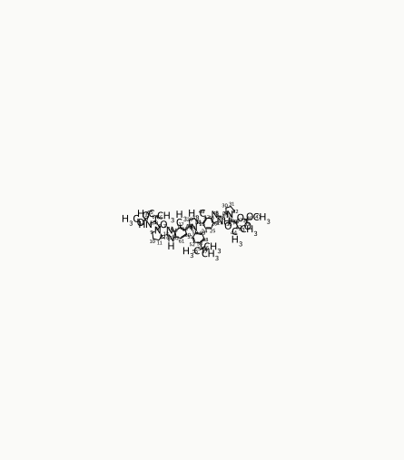 COC(=O)N[C@H](C(=O)N1CCC[C@H]1c1nc2c(C)c([C@H]3CC[C@H](c4ccc5[nH]c([C@@H]6CCCN6C(=O)[C@@H](OC(=O)OC)C(C)C)nc5c4C)N3c3ccc(C(C)(C)C)cc3)ccc2[nH]1)C(C)C